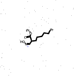 CC(C)CCCCCC(/C=N\O)C(=O)OC(C)C